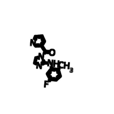 Cc1ccc(F)cc1NC1=NCCN1C(=O)c1cccnc1